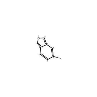 Fc1ccc2co[c]c2c1